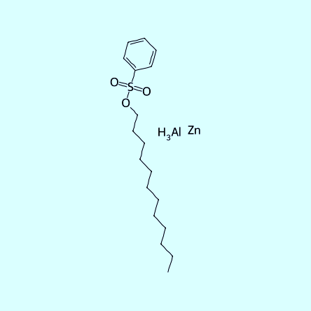 CCCCCCCCCCCCOS(=O)(=O)c1ccccc1.[AlH3].[Zn]